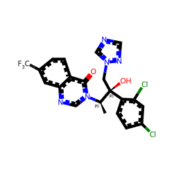 C[C@@H](n1cnc2cc(C(F)(F)F)ccc2c1=O)[C@](O)(Cn1cncn1)c1ccc(Cl)cc1Cl